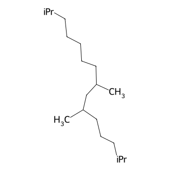 CC(C)CCCCCC(C)CC(C)CCCC(C)C